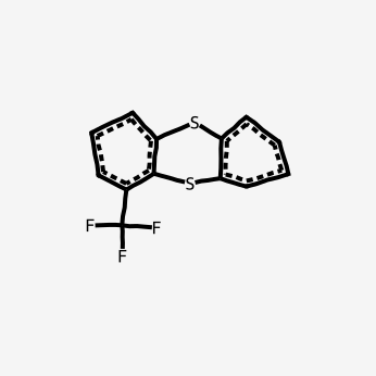 FC(F)(F)c1cccc2c1Sc1ccccc1S2